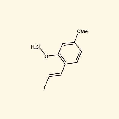 COc1ccc(C=CI)c(O[SiH3])c1